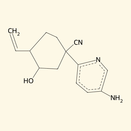 C=CC1CCC(C#N)(c2ccc(N)cn2)CC1O